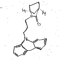 O=C1[C@@H]2CC[C@@H](C2)N1CCCn1c2ccccc2c2ccccc21